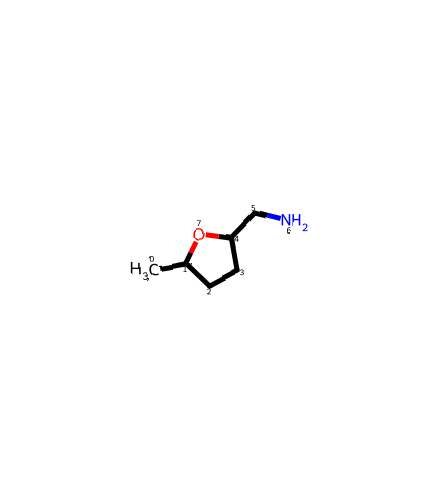 C[C]1CCC(CN)O1